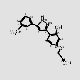 C#CCOc1ccc(-c2cc(-c3cccc(C)c3)[nH]n2)c(O)c1